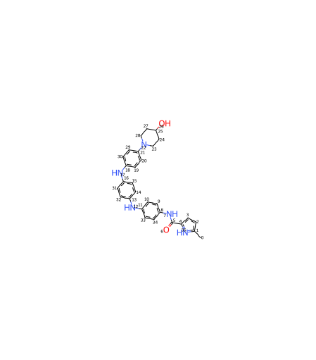 Cc1ccc(C(=O)Nc2ccc(Nc3ccc(Nc4ccc(N5CCC(O)CC5)cc4)cc3)cc2)[nH]1